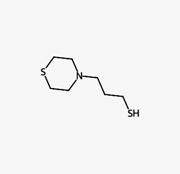 SCCCN1CCSCC1